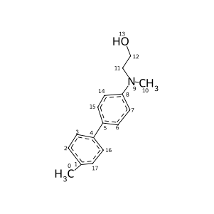 Cc1ccc(-c2ccc(N(C)CCO)cc2)cc1